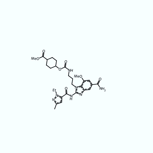 CCn1nc(C)cc1C(=O)Nc1nc2cc(C(N)=O)cc(OC)c2n1CCCNC(=O)OC1CCC(C(=O)OC)CC1